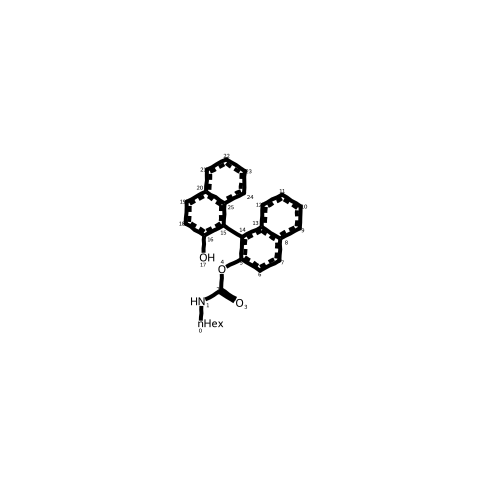 CCCCCCNC(=O)Oc1ccc2ccccc2c1-c1c(O)ccc2ccccc12